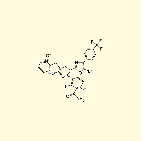 NC(=O)c1c(F)ccc(OC(CN(Cc2cccc[n+]2[O-])C(=O)O)c2nc(-c3ccc(C(F)(F)F)cc3)c(Br)o2)c1F